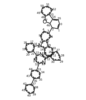 C1=CC(c2ccc3c(c2)c2ccccc2n3-c2ccccc2-c2nc(-c3ccccc3)nc(-c3ccc(-c4ccccc4)cc3)n2)C2Oc3ccccc3C2=C1